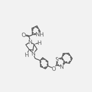 O=C(c1ccc[nH]1)N1C[C@@H]2C[C@H]1CN2Cc1ccc(Oc2nc3ccccc3s2)cc1